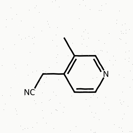 Cc1cnccc1CC#N